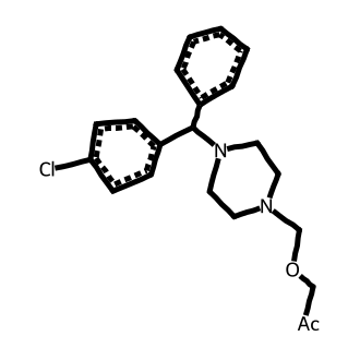 CC(=O)COCN1CCN(C(c2ccccc2)c2ccc(Cl)cc2)CC1